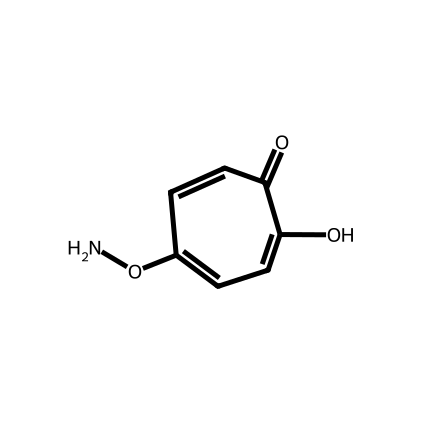 NOc1ccc(O)c(=O)cc1